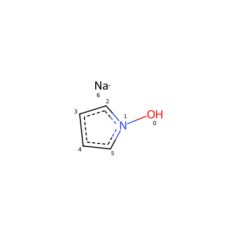 On1cccc1.[Na]